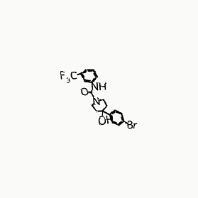 O=C(Nc1cccc(C(F)(F)F)c1)N1CCC(O)(c2ccc(Br)cc2)CC1